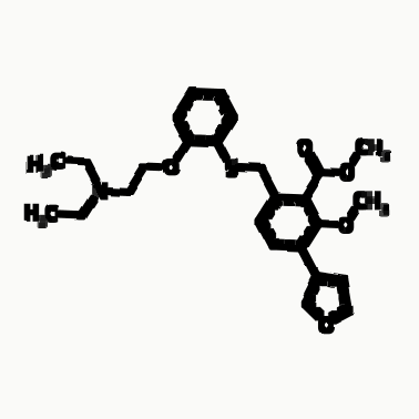 CCN(CC)CCOc1ccccc1SCc1ccc(-c2ccoc2)c(OC)c1C(=O)OC